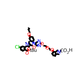 C=CCOc1ccc(N(C(=O)c2cc(-c3cc(Cl)ccc3C(=O)OC(C)(C)C)n(C)c2C)c2cnc(OCCOCCOc3cccc4c3CN(C(=O)O)C4)nc2)cc1